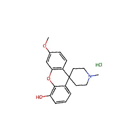 COc1ccc2c(c1)Oc1c(O)cccc1C21CCN(C)CC1.Cl